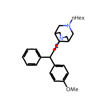 CCCCCCN1CC2CN(C(c3ccccc3)c3ccc(OC)cc3)CC(C1)C21CCCCC1